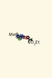 CCOC(=O)C[C@H](c1cccc(OCc2cnc(-c3cc(OC)ncc3F)c(Cl)n2)c1)C1CC1